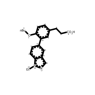 CCCCOc1ccc(CCC(=O)O)cc1-c1ccc2c(cnn2CC)c1